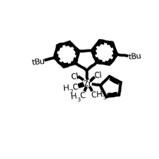 [CH2]=[Zr]([CH3])([CH3])([Cl])([Cl])([CH]1C=CC=C1)[CH]1c2cc(C(C)(C)C)ccc2-c2ccc(C(C)(C)C)cc21